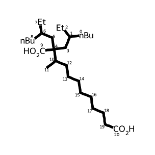 CCCCC(CC)CC(CC(CC)CCCC)(C(=O)O)C(C)CCCCCCCCC(=O)O